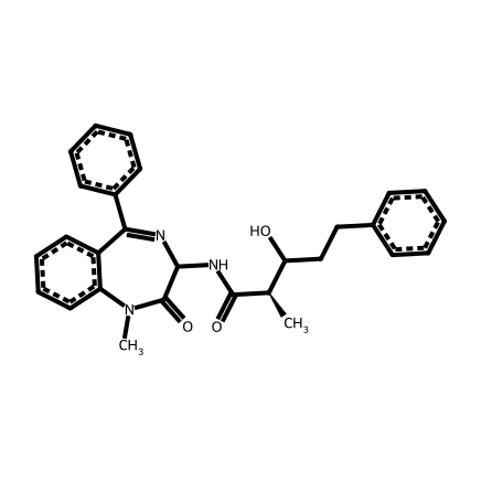 C[C@@H](C(=O)NC1N=C(c2ccccc2)c2ccccc2N(C)C1=O)C(O)CCc1ccccc1